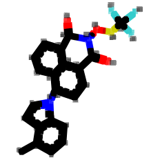 Cc1cccc2c1ccn2-c1ccc2c3c(cccc13)C(=O)N(OSC(F)(F)F)C2=O